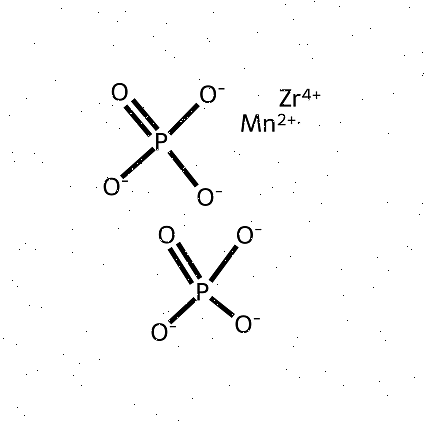 O=P([O-])([O-])[O-].O=P([O-])([O-])[O-].[Mn+2].[Zr+4]